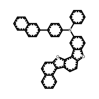 c1ccc(N(c2ccc(-c3ccc4ccccc4c3)cc2)c2ccc3oc4ccc5c(oc6ccc7ccccc7c65)c4c3c2)cc1